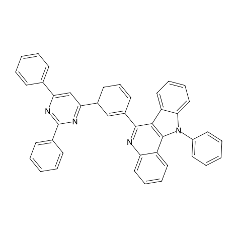 C1=CC(c2nc3ccccc3c3c2c2ccccc2n3-c2ccccc2)=CC(c2cc(-c3ccccc3)nc(-c3ccccc3)n2)C1